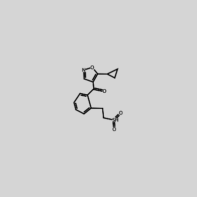 O=C(c1ccccc1CC[SH](=O)=O)c1cnoc1C1CC1